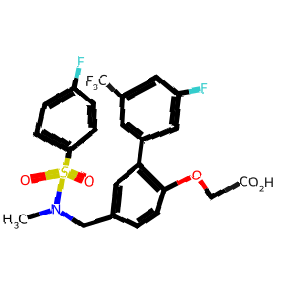 CN(Cc1ccc(OCC(=O)O)c(-c2cc(F)cc(C(F)(F)F)c2)c1)S(=O)(=O)c1ccc(F)cc1